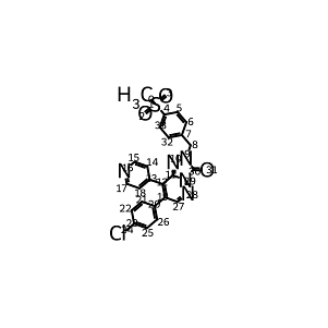 CS(=O)(=O)c1ccc(Cn2nc3c(-c4ccncc4)c(-c4ccc(Cl)cc4)cnn3c2=O)cc1